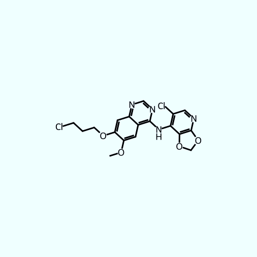 COc1cc2c(Nc3c(Cl)cnc4c3OCO4)ncnc2cc1OCCCCl